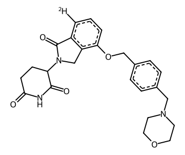 [2H]c1ccc(OCc2ccc(CN3CCOCC3)cc2)c2c1C(=O)N(C1CCC(=O)NC1=O)C2